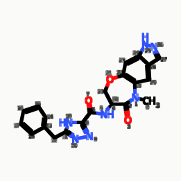 CN1C(=O)[C@@H](NC(=O)c2nnc(Cc3ccccc3)[nH]2)COc2cc3[nH]ncc3cc21